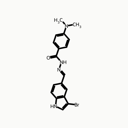 CN(C)c1ccc(C(=O)N/N=C/c2ccc3[nH]cc(Br)c3c2)cc1